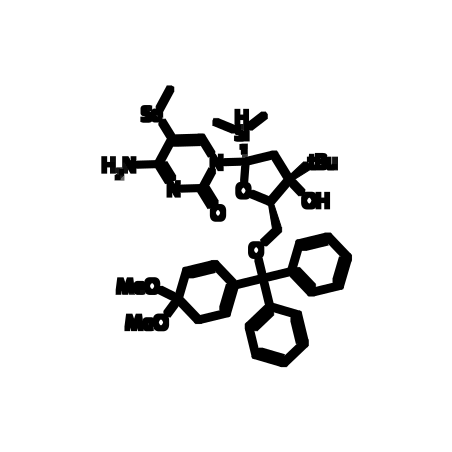 COC1(OC)C=CC(C(OC[C@H]2O[C@](n3cc([Se]C)c(N)nc3=O)([SiH](C)C)C[C@@]2(O)C(C)(C)C)(c2ccccc2)c2ccccc2)=CC1